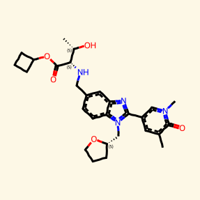 Cc1cc(-c2nc3cc(CN[C@H](C(=O)OC4CCC4)[C@H](C)O)ccc3n2C[C@@H]2CCCO2)cn(C)c1=O